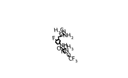 C/N=C(/N)OCCc1cc(NC(=O)c2ncc(OCC(F)(F)F)nc2C)ccc1F